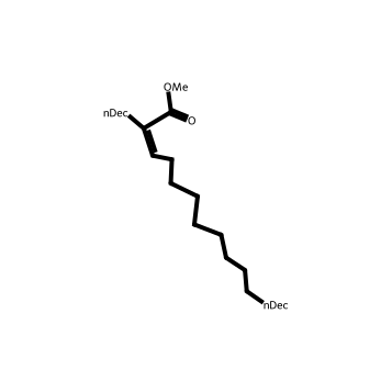 CCCCCCCCCCCCCCCCCCC=C(CCCCCCCCCC)C(=O)OC